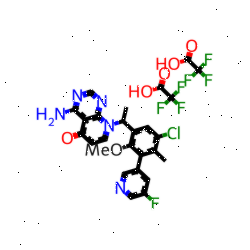 COc1c(C(C)n2ccc(=O)c3c(N)ncnc32)cc(Cl)c(C)c1-c1cncc(F)c1.O=C(O)C(F)(F)F.O=C(O)C(F)(F)F